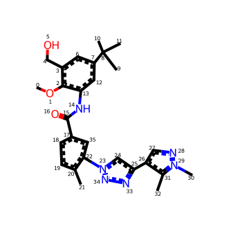 COc1c(CO)cc(C(C)(C)C)cc1NC(=O)c1ccc(C)c(-n2cc(-c3cnn(C)c3C)nn2)c1